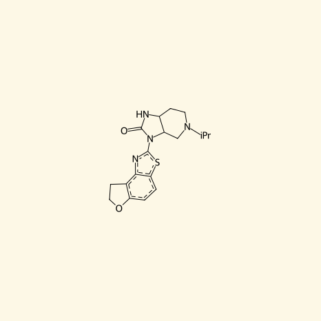 CC(C)N1CCC2NC(=O)N(c3nc4c5c(ccc4s3)OCC5)C2C1